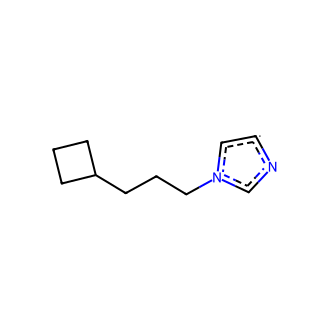 [c]1cn(CCCC2CCC2)cn1